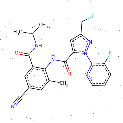 Cc1cc(C#N)cc(C(=O)NC(C)C)c1NC(=O)c1cc(CF)nn1-c1ncccc1F